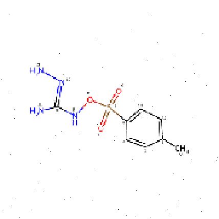 Cc1ccc(S(=O)(=O)ONC(N)=NN)cc1